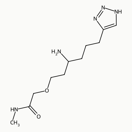 CNC(=O)COCCC(N)CCCc1c[nH]nn1